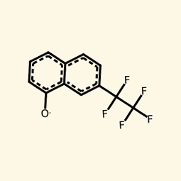 [O]c1cccc2ccc(C(F)(F)C(F)(F)F)cc12